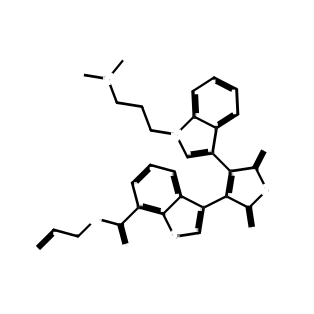 C=CCOC(=O)c1cccc2c(C3=C(c4cn(CCCN(C)C)c5ccccc45)C(=O)NC3=O)c[nH]c12